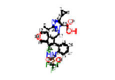 CCc1nc(C2CC2)c(C(=O)O)n1Cc1c2ccocc-2c(Br)c1-c1ccccc1NS(=O)(=O)C(F)(F)F